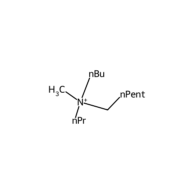 CCCCCC[N+](C)(CCC)CCCC